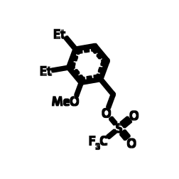 CCc1ccc(COS(=O)(=O)C(F)(F)F)c(OC)c1CC